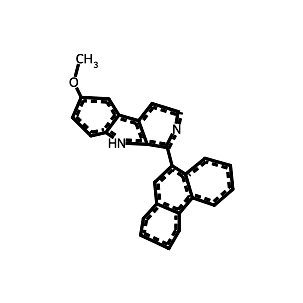 COc1ccc2[nH]c3c(-c4cc5ccccc5c5ccccc45)nccc3c2c1